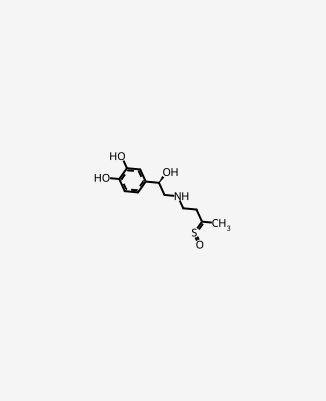 CC(CCNC[C@H](O)c1ccc(O)c(O)c1)=S=O